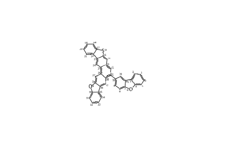 c1ccc2c(c1)oc1ccc(-c3cc4cc5sc6ccccc6c5cc4c4cc5oc6ccccc6c5cc34)cc12